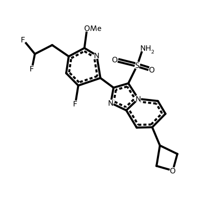 COc1nc(-c2nc3cc(C4COC4)ccn3c2S(N)(=O)=O)c(F)cc1CC(F)F